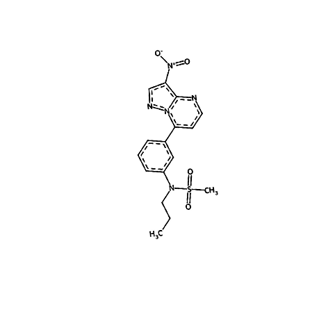 CCCN(c1cccc(-c2ccnc3c([N+](=O)[O-])cnn23)c1)S(C)(=O)=O